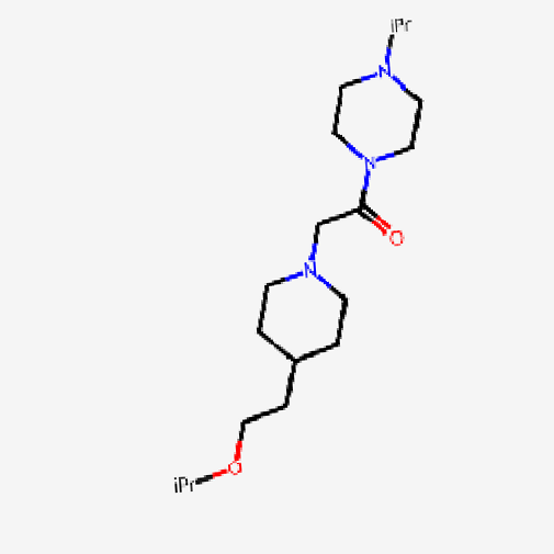 CC(C)OCCC1CCN(CC(=O)N2CCN(C(C)C)CC2)CC1